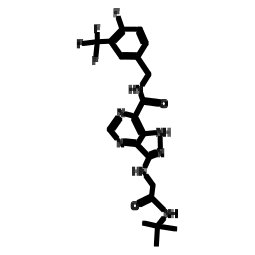 CC(C)(C)NC(=O)CNc1n[nH]c2c(C(=O)NCc3ccc(F)c(C(F)(F)F)c3)ncnc12